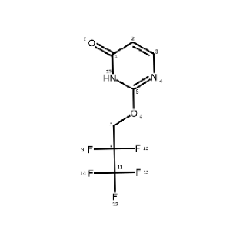 O=c1ccnc(OCC(F)(F)C(F)(F)F)[nH]1